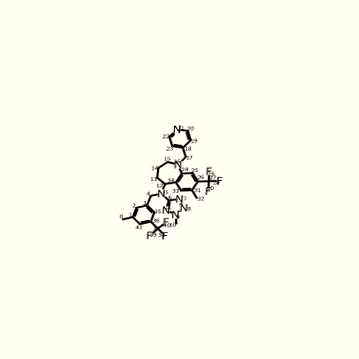 Cc1cc(CN(c2nnn(C)n2)C2CCCN(Cc3ccncc3)c3cc(C(F)(F)F)c(C)cc32)cc(C(F)(F)F)c1